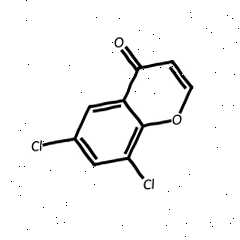 O=c1ccoc2c(Cl)cc(Cl)cc12